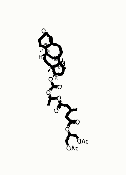 CC(=O)OCC(COC(C)=O)OC(=O)CC(C)CC(=O)OC(C)OC(=O)O[C@H]1CC[C@H]2[C@@H]3CCC4=CC(=O)CC[C@]4(C)[C@@H](CC[C@]12C)C3